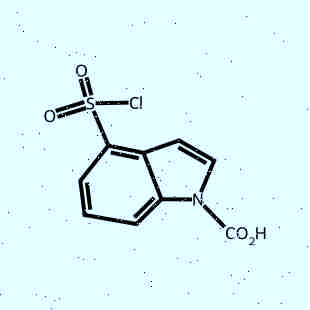 O=C(O)n1ccc2c(S(=O)(=O)Cl)cccc21